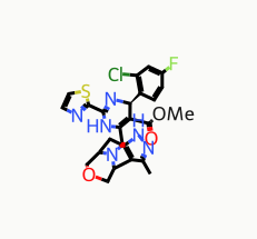 COC(=O)C1=C(CN2C3COCC2c2c(C)n[nH]c2C3)NC(c2nccs2)=N[C@H]1c1ccc(F)cc1Cl